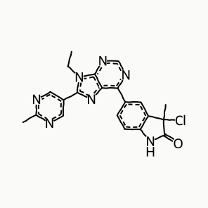 CCn1c(-c2cnc(C)nc2)nc2c(-c3ccc4c(c3)C(C)(Cl)C(=O)N4)ncnc21